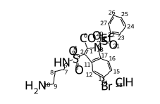 CCOC(=O)c1c(S(=O)(=O)NCCCN)c2cc(Br)ccc2n1S(=O)(=O)c1ccccc1.Cl